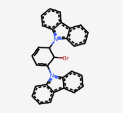 BrC1C(n2c3ccccc3c3ccccc32)=CC=CC1n1c2ccccc2c2ccccc21